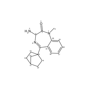 CN1C(=O)C(N)N=C(C23CCC(CC2)C3)c2ccccc21